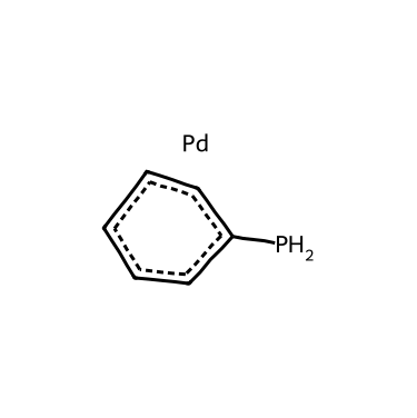 Pc1ccccc1.[Pd]